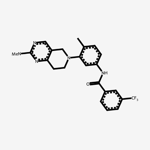 CNc1ncc2c(n1)CCN(c1cc(NC(=O)c3cccc(C(F)(F)F)c3)ccc1C)C2